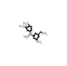 CCc1cc(C)cc(N(P)c2ccc(C)c(C)c2)c1